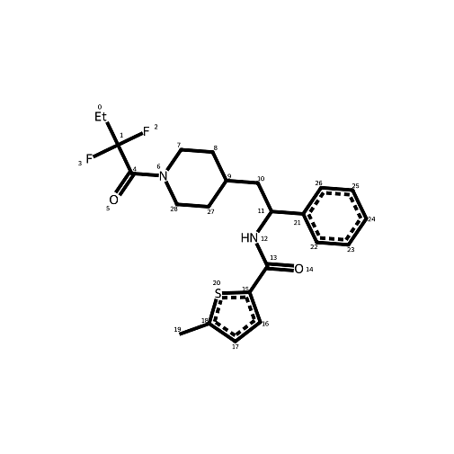 CCC(F)(F)C(=O)N1CCC(CC(NC(=O)c2ccc(C)s2)c2ccccc2)CC1